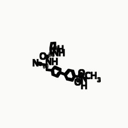 CNS(=O)(=O)c1ccc(-c2ccc(C[C@@H](C#N)NC(=O)[C@H]3N[C@@H]4CCC34)cc2)cc1